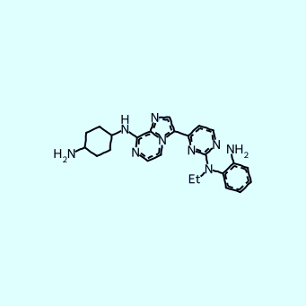 CCN(c1nccc(-c2cnc3c(NC4CCC(N)CC4)nccn23)n1)c1ccccc1N